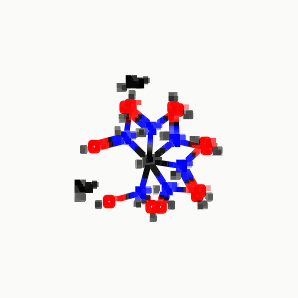 O=[N+]([O-])[Ir-2]([N+](=O)[O-])([N+](=O)[O-])([N+](=O)[O-])([N+](=O)[O-])[N+](=O)[O-].[Na+].[Na+]